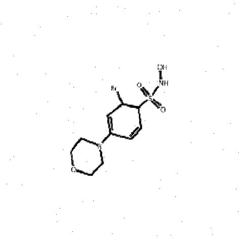 O=S(=O)(NO)C1C=CC(N2CCOCC2)=CC1Br